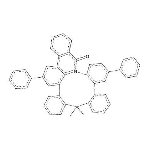 CC1(C)c2ccccc2-c2cc(-c3ccccc3)ccc2-n2c(=O)c3ccccc3c3cc(-c4ccccc4)cc(c32)-c2ccccc21